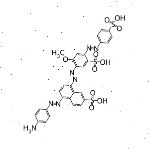 COc1cc(N=Nc2ccc(S(=O)(=O)O)cc2)c(S(=O)(=O)O)cc1N=Nc1ccc(N=Nc2ccc(N)cc2)c2ccc(S(=O)(=O)O)cc12